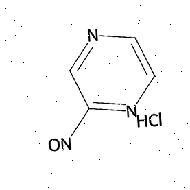 Cl.O=Nc1cnccn1